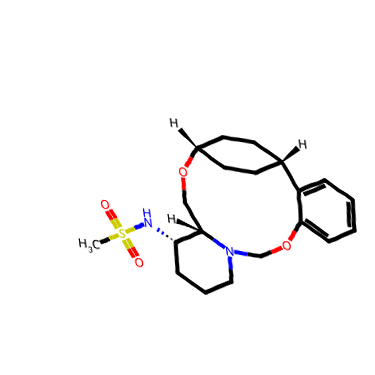 CS(=O)(=O)N[C@H]1CCCN2COc3ccccc3[C@H]3CC[C@H](CC3)OC[C@@H]12